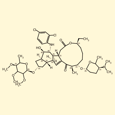 CC[C@H]1CCC[C@H](O[C@H]2CC[C@H](N(C)C)C(C)O2)[C@@H](C)C(=O)C2=C[C@H]3[C@@H]4C[C@H](O[C@@H]5OC(C)[C@H](OC)C(OC)C5OC)C[C@H]4[C@@H](O)[C@H](Nc4ccc(Cl)cc4Cl)[C@H]3[C@@H]2CC(=O)O1